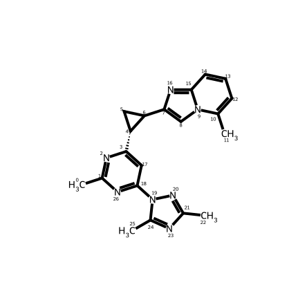 Cc1nc([C@@H]2CC2c2cn3c(C)cccc3n2)cc(-n2nc(C)nc2C)n1